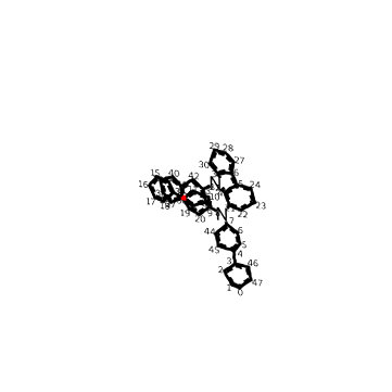 c1ccc(-c2ccc(N(c3ccc(-c4ccccc4)cc3)c3cccc4c5ccccc5n(-c5ccc6ccccc6c5)c34)cc2)cc1